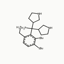 CC(C)(C)c1ccc(CP)c(C(P)(C2CCNC2)C2CCNC2)c1C(C)(C)C